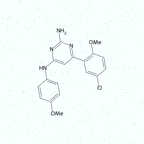 COc1ccc(Nc2cc(-c3cc(Cl)ccc3OC)nc(N)n2)cc1